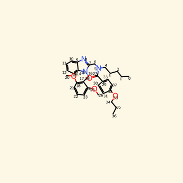 CCCCCN(Cc1nc2ccccc2n1Cc1c(OC)cccc1OC)C(=O)c1ccc(OCCC)cc1